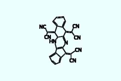 N#CC(C#N)=C1C2=C(NC3C(=N2)C(=C(C#N)C#N)c2ccccc2C3=C(C#N)C#N)c2ccccc21